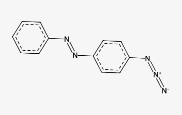 [N-]=[N+]=Nc1ccc(N=Nc2ccccc2)cc1